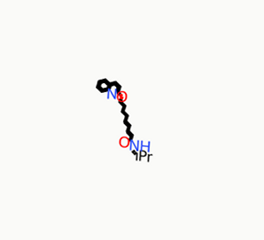 CC(C)CNC(=O)C=CC=CCCCCOc1ccc2ccccc2n1